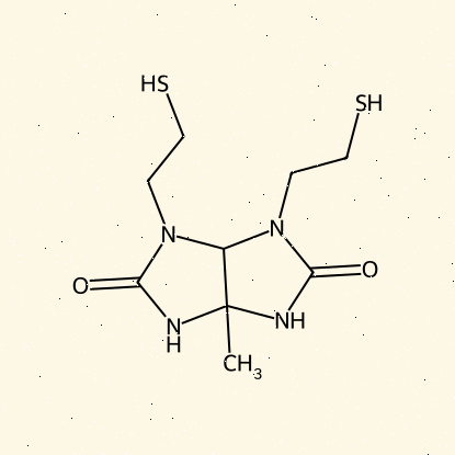 CC12NC(=O)N(CCS)C1N(CCS)C(=O)N2